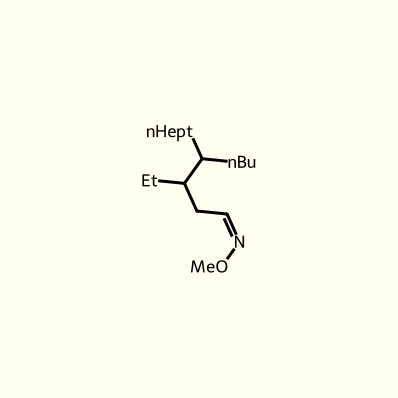 CCCCCCCC(CCCC)C(CC)C/C=N\OC